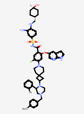 COc1ccc(CN2CCN(C3CC4(CCN(c5cc(Oc6cnc7[nH]ccc7c6)c(C(=O)NS(=O)(=O)c6ccc(NC[C@H]7CC[C@](C)(O)CC7)c(N)c6)cc5F)CC4)C3)C(c3ccccc3C(C)C)C2)cc1